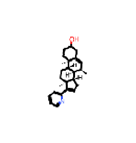 C[C@@H]1C=C2C[C@H](O)CC[C@]2(C)[C@H]2CC[C@]3(C)C(c4ccccn4)=CC[C@H]3[C@H]12